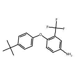 CC(C)(C)c1ccc(Oc2ccc(N)cc2C(F)(F)F)cc1